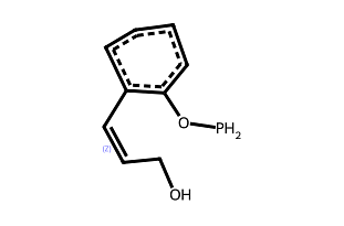 OC/C=C\c1ccccc1OP